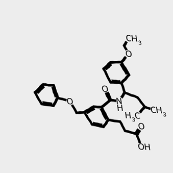 CCOc1cccc(C(CC(C)C)NC(=O)c2cc(COc3ccccc3)ccc2CCC(=O)O)c1